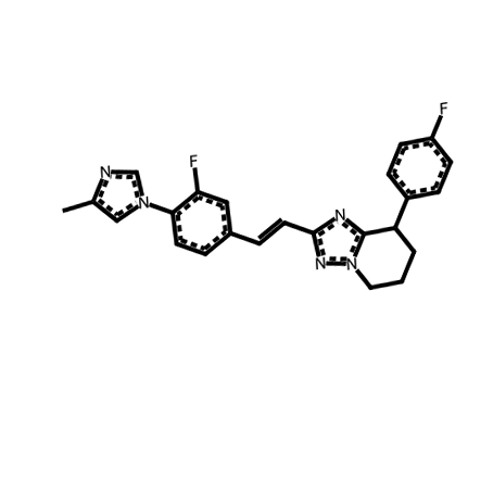 Cc1cn(-c2ccc(/C=C/c3nc4n(n3)CCCC4c3ccc(F)cc3)cc2F)cn1